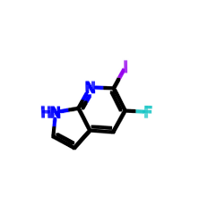 Fc1cc2cc[nH]c2nc1I